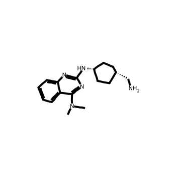 CN(C)c1nc(N[C@H]2CC[C@@H](CN)CC2)nc2ccccc12